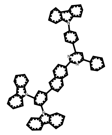 c1ccc(-c2cc(-c3ccc(-n4c5ccccc5c5ccccc54)cc3)nc(-c3ccc4cc(-c5cc(-n6c7ccccc7c7ccccc76)cc(-n6c7ccccc7c7ccccc76)c5)ccc4c3)n2)cc1